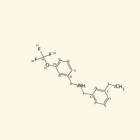 [CH2]Cc1cccc(CNCc2cccc(OC(F)(F)F)c2)c1